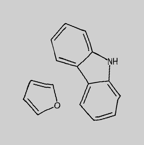 c1ccc2c(c1)[nH]c1ccccc12.c1ccoc1